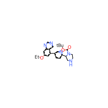 CCOc1cc(-c2ccc(C3CNCCN3C(=O)OC(C)(C)C)nc2)c2cncnc2c1